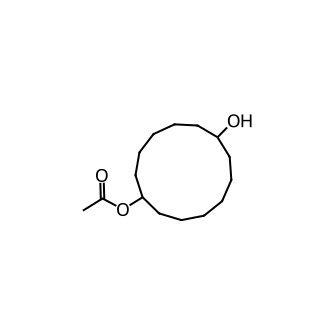 CC(=O)OC1CCCCCCC(O)CCCCC1